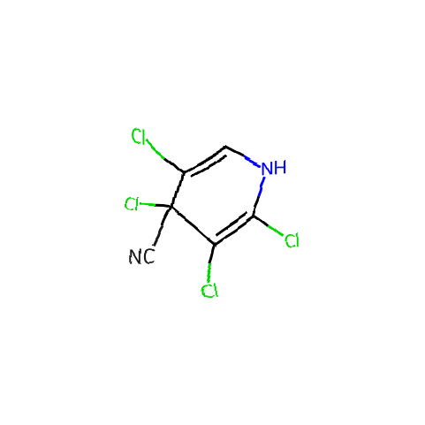 N#CC1(Cl)C(Cl)=CNC(Cl)=C1Cl